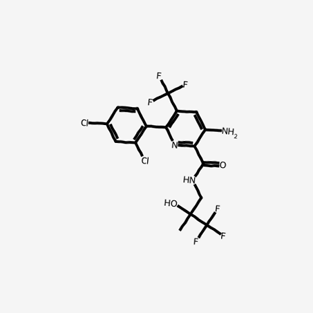 CC(O)(CNC(=O)c1nc(-c2ccc(Cl)cc2Cl)c(C(F)(F)F)cc1N)C(F)(F)F